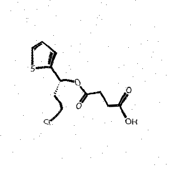 O=C(O)CCC(=O)O[C@H](CCCl)c1cccs1